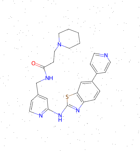 O=C(CCN1CCCCC1)NCc1ccnc(Nc2nc3ccc(-c4ccncc4)cc3s2)c1